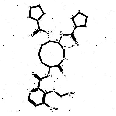 COc1ccnc(C(=O)N[C@H]2CCC[C@H](OC(=O)C3CCCC3)[C@@H](OC(=O)C3CCCC3)[C@H](C)OC2=O)c1OCOC(C)=O